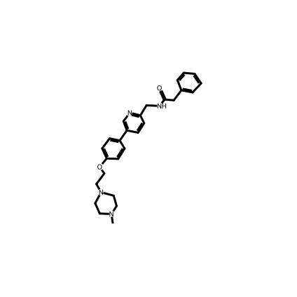 CN1CCN(CCOc2ccc(-c3ccc(CNC(=O)Cc4ccccc4)nc3)cc2)CC1